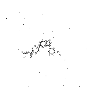 COc1cccc(-c2cnc3ccc(N4CCN(C(=O)OC(C)C)CC4)nn23)c1